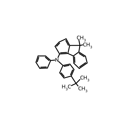 CC(C)(C)c1ccc(N(c2ccccc2)c2cccc3c2-c2ccccc2C3(C)C)cc1